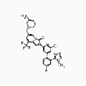 CC1=CCCN(Cc2cc(C(F)(F)F)c3cn(-c4cc(-c5ccc(F)cc5-c5nncn5C)cc(Cl)n4)c(=O)n3c2)C1